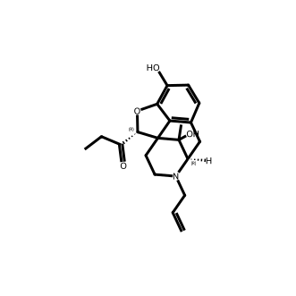 C=CCN1CCC23c4c(ccc(O)c4O[C@H]2C(=O)CC)C[C@@H]1C3(C)O